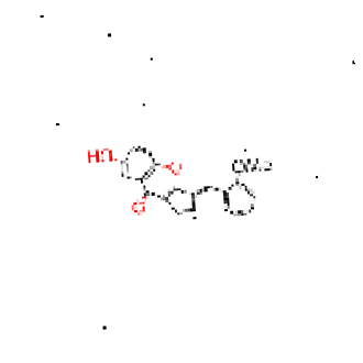 COc1ccccc1C=C1CCc2c1oc1ccc(O)cc1c2=O